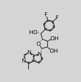 Cc1ncnc2c1ccn2[C@@H]1O[C@H]([C@H](O)c2ccc(F)c(F)c2)[C@@H](O)[C@H]1O